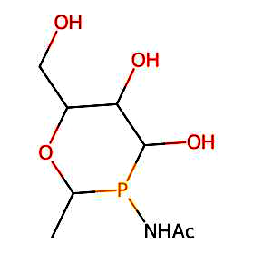 CC(=O)NP1C(C)OC(CO)C(O)C1O